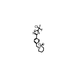 O=S1(=O)CCCCN1Cc1ccc(-c2noc(C(F)(F)Cl)n2)cc1